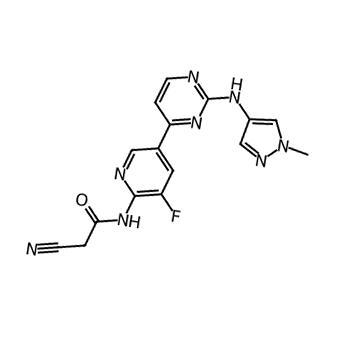 Cn1cc(Nc2nccc(-c3cnc(NC(=O)CC#N)c(F)c3)n2)cn1